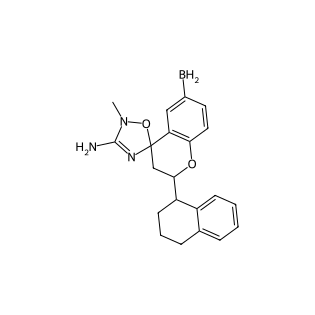 Bc1ccc2c(c1)C1(CC(C3CCCc4ccccc43)O2)N=C(N)N(C)O1